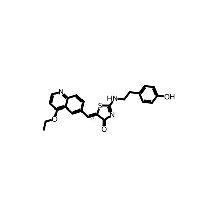 CCOc1ccnc2ccc(/C=C3\SC(NCCc4ccc(O)cc4)=NC3=O)cc12